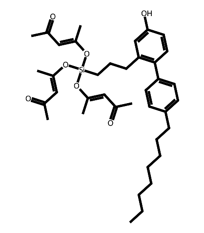 CCCCCCCCc1ccc(-c2ccc(O)cc2CCC[Si](OC(C)=CC(C)=O)(OC(C)=CC(C)=O)OC(C)=CC(C)=O)cc1